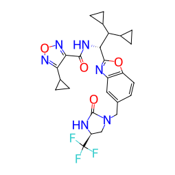 O=C(N[C@@H](c1nc2cc(CN3C[C@@H](C(F)(F)F)NC3=O)ccc2o1)C(C1CC1)C1CC1)c1nonc1C1CC1